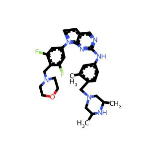 Cc1cc(Nc2ncc3ccn(-c4cc(F)c(CN5CCOCC5)c(F)c4)c3n2)ccc1CN1CC(C)NC(C)C1